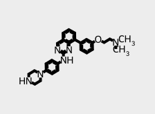 CN(C)CCOc1cccc(-c2cccc3cnc(Nc4ccc(N5CCNCC5)cc4)nc23)c1